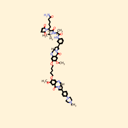 COc1cc2c(cc1OCCCCCOc1cc3c(cc1OC)C(=O)N1C=C(c4cccc(NC(=O)[C@H](C)NC(=O)[C@@H](C(C)C)C(CCCCC(N)=O)N5C(=O)C=CC5=O)c4)C[C@H]1C=N3)N=C[C@@H]1CC(c3ccc(N4CCN(C)CC4)cc3)=CN1C2=O